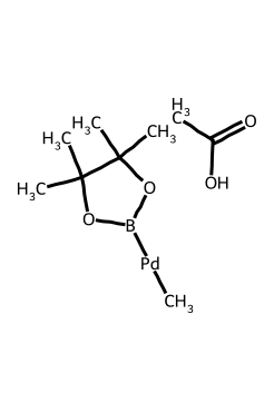 CC(=O)O.[CH3][Pd][B]1OC(C)(C)C(C)(C)O1